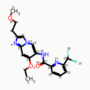 CCOc1cc2nc(CCOC)cn2cc1NC(=O)c1cccc(C(F)F)n1